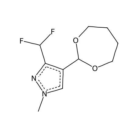 Cn1cc(C2OCCCCO2)c(C(F)F)n1